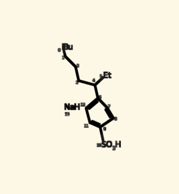 CCC(C)CCCC(CC)c1ccc(S(=O)(=O)O)cc1.[NaH]